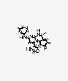 C[C@H](Nc1nc(Nc2cnccn2)cc(C2=COCN2)n1)c1ccc(F)cc1